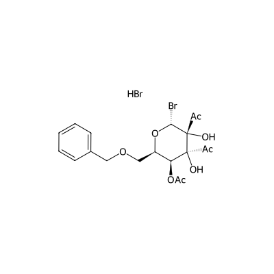 Br.CC(=O)O[C@H]1[C@@H](COCc2ccccc2)O[C@H](Br)[C@@](O)(C(C)=O)[C@]1(O)C(C)=O